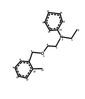 CCN(CCOCc1ccccc1C)c1ccccc1